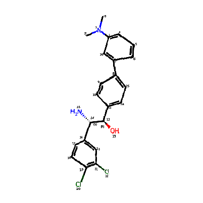 CN(C)c1cccc(-c2ccc([C@@H](O)[C@@H](N)c3ccc(Cl)c(Cl)c3)cc2)c1